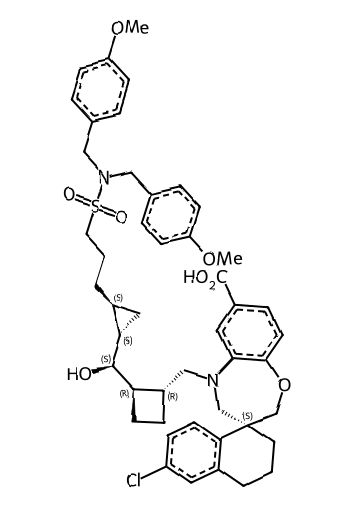 COc1ccc(CN(Cc2ccc(OC)cc2)S(=O)(=O)CCC[C@H]2C[C@@H]2[C@H](O)[C@@H]2CC[C@H]2CN2C[C@@]3(CCCc4cc(Cl)ccc43)COc3ccc(C(=O)O)cc32)cc1